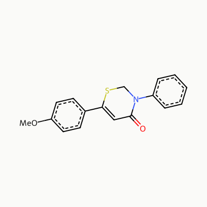 COc1ccc(C2=CC(=O)N(c3ccccc3)CS2)cc1